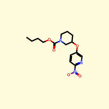 CCCCOC(=O)N1CCCC(Oc2ccc([N+](=O)[O-])nc2)C1